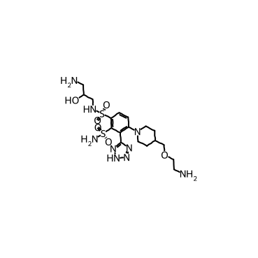 NCCOCC1CCN(c2ccc(S(=O)(=O)NCC(O)CN)c(S(N)(=O)=O)c2-c2nn[nH]n2)CC1